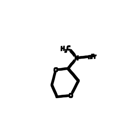 CCCN(C)C1COCCO1